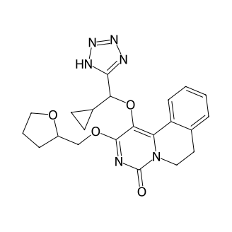 O=c1nc(OCC2CCCO2)c(OC(c2nnn[nH]2)C2CC2)c2n1CCc1ccccc1-2